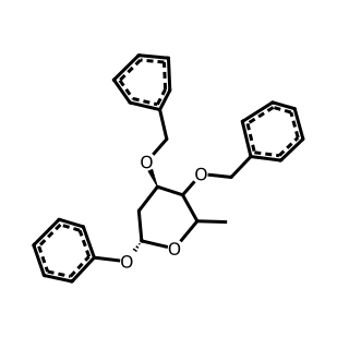 CC1O[C@H](Oc2ccccc2)C[C@@H](OCc2ccccc2)C1OCc1ccccc1